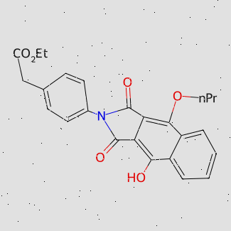 CCCOc1c2c(c(O)c3ccccc13)C(=O)N(c1ccc(CC(=O)OCC)cc1)C2=O